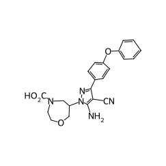 N#Cc1c(-c2ccc(Oc3ccccc3)cc2)nn(C2COCCN(C(=O)O)C2)c1N